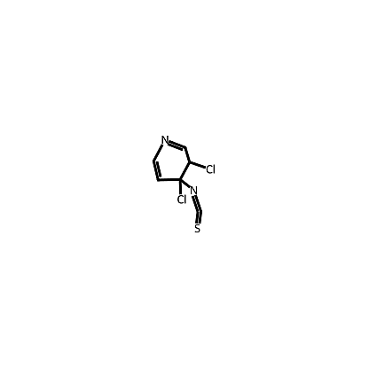 S=C=NC1(Cl)C=CN=CC1Cl